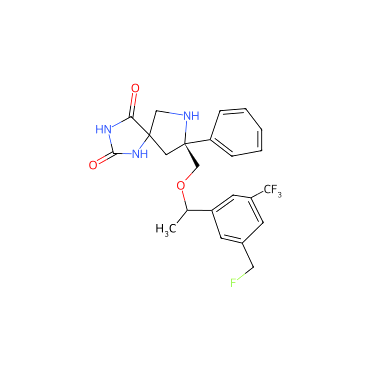 CC(OC[C@@]1(c2ccccc2)CC2(CN1)NC(=O)NC2=O)c1cc(CF)cc(C(F)(F)F)c1